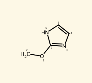 [CH2]Oc1ncc[nH]1